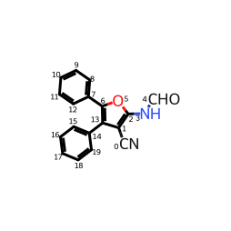 N#Cc1c(NC=O)oc(-c2ccccc2)c1-c1ccccc1